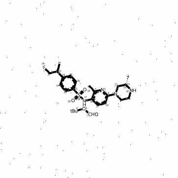 CC(C)(C)OC=O.Cc1nc(N2CCN[C@@H](C)C2)ccc1NS(=O)(=O)c1ccc(C(C)CF)cc1